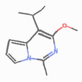 COc1nc(C)n2cccc2c1C(C)C